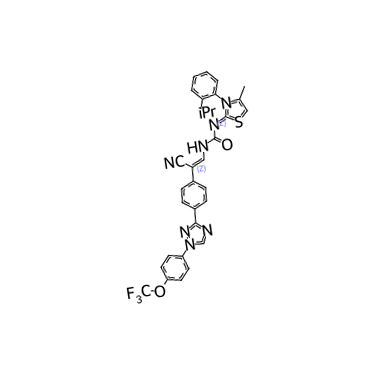 Cc1cs/c(=N\C(=O)N/C=C(\C#N)c2ccc(-c3ncn(-c4ccc(OC(F)(F)F)cc4)n3)cc2)n1-c1ccccc1C(C)C